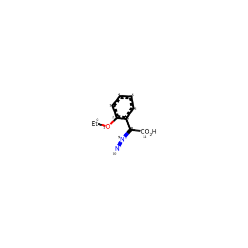 CCOc1ccccc1C(=[N+]=[N-])C(=O)O